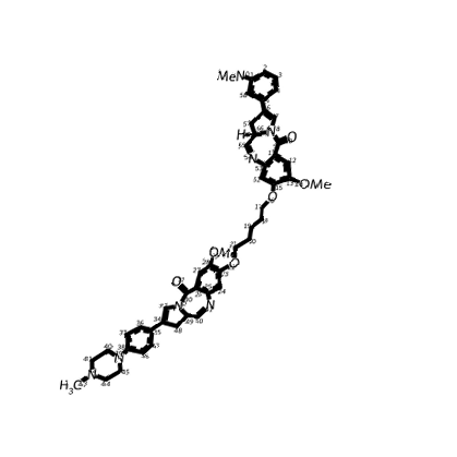 CNc1cccc(C2=CN3C(=O)c4cc(OC)c(OCCCCCOc5cc6c(cc5OC)C(=O)N5C=C(c7ccc(N8CCN(C)CC8)cc7)CC5C=N6)cc4N=C[C@@H]3C2)c1